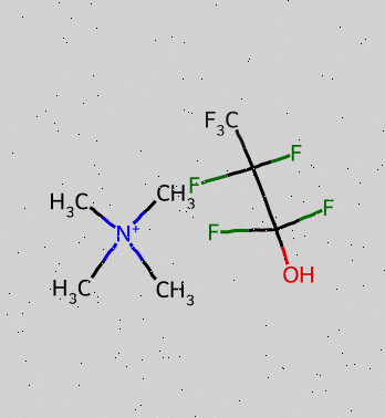 C[N+](C)(C)C.OC(F)(F)C(F)(F)C(F)(F)F